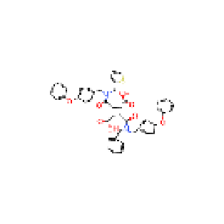 O=C(O)[C@@H]1[C@H](C(=O)N(Cc2ccccc2)Cc2ccc(Oc3ccccc3)cc2)[C@@H](C(=O)O)[C@H]1C(=O)N(Cc1ccc(Oc2ccccc2)cc1)Cc1cccs1